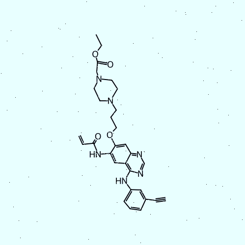 C#Cc1cccc(Nc2ncnc3cc(OCCCN4CCN(CC(=O)OCC)CC4)c(NC(=O)C=C)cc23)c1